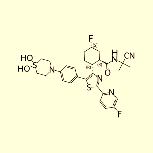 CC(C)(C#N)NC(=O)[C@@H]1C[C@@H](F)CC[C@H]1c1nc(-c2ccc(F)cn2)sc1-c1ccc(N2CCS(O)(O)CC2)cc1